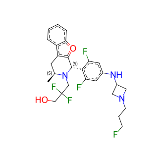 C[C@H]1Cc2c(oc3ccccc23)[C@H](c2c(F)cc(NC3CN(CCCF)C3)cc2F)N1CC(F)(F)CO